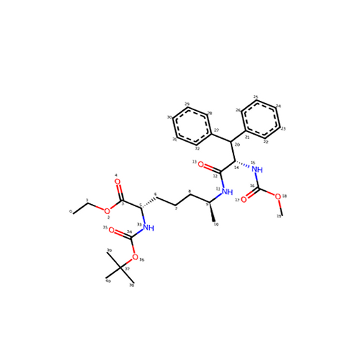 CCOC(=O)[C@H](CCC[C@H](C)NC(=O)[C@@H](NC(=O)OC)C(c1ccccc1)c1ccccc1)NC(=O)OC(C)(C)C